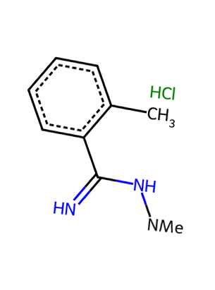 CNNC(=N)c1ccccc1C.Cl